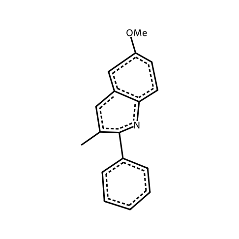 COc1ccc2nc(-c3ccccc3)c(C)cc2c1